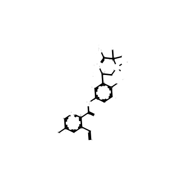 C=Cc1cc(Cl)cnc1C(=O)Nc1ccc(F)c([C@]2(C)CS(O)(O)C(C)(C)C(N)=N2)c1